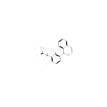 CCCCc1c(C2CCCc3ccccc32)cccc1C(C)(C)C(N)=O